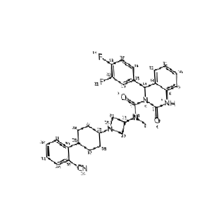 CN(C(=O)N1C(=O)Nc2ccccc2C1c1ccc(F)c(F)c1)C1CN(C2CCC(c3ccccc3C#N)CC2)C1